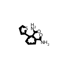 NC(=O)c1cccc(-c2cccs2)c1C(N)=O